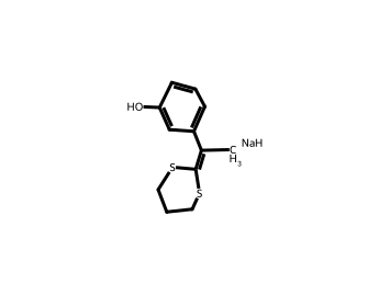 CC(=C1SCCCS1)c1cccc(O)c1.[NaH]